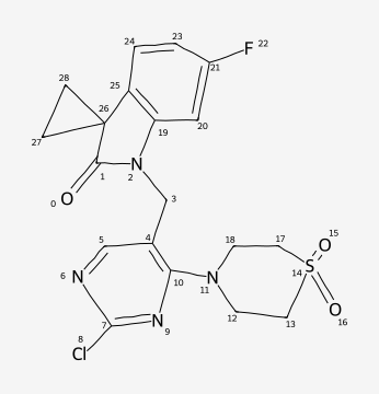 O=C1N(Cc2cnc(Cl)nc2N2CCS(=O)(=O)CC2)c2cc(F)ccc2C12CC2